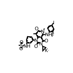 Cc1c(=O)n(C)c(Nc2ccc(I)cc2F)c2c(=O)n(C3CC3)c(=O)n(-c3cccc(NS(C)(=O)=O)c3)c12.[K]